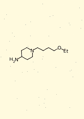 CCOCCCCN1CCC(N)CC1